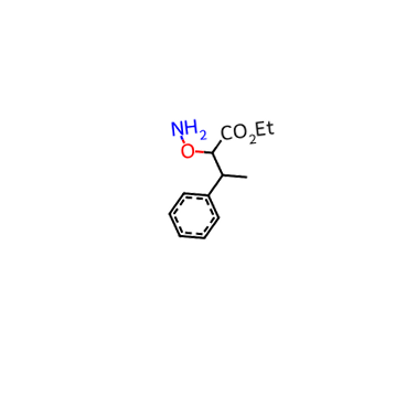 CCOC(=O)C(ON)C(C)c1ccccc1